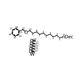 CCCCCCCCCCCCCCCCCCCCO[C]c1ccccc1.[C]=O.[C]=O.[C]=O.[C]=O.[C]=O.[W]